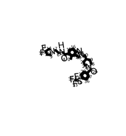 Cc1c(C(=O)NCCN2CCC(F)(F)C2)ccc2nn(CC3CCN(C(=O)c4ccc(SC(F)(F)F)cc4)CC3)cc12